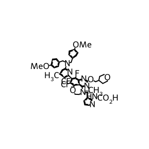 COc1ccc(CN(Cc2ccc(OC)cc2)c2cc(C)c(C(F)(F)F)c(-c3c(Cl)c4c5c(nc(OCC6CCOCC6)nc5c3F)N([C@H](C)c3cccnc3NC(=O)O)CCO4)n2)cc1